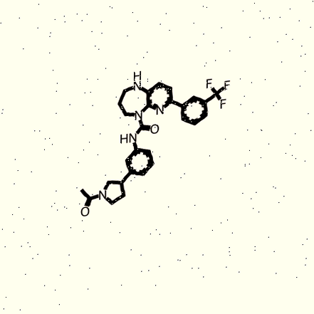 CC(=O)N1CCC(c2cccc(NC(=O)N3CCCNc4ccc(-c5cccc(C(F)(F)F)c5)nc43)c2)C1